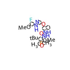 COc1cc(F)cc(Nc2cc(Oc3ccc(NC(=O)Nc4cc(C(C)(C)C)cc(P(C)(C)=O)c4OC)c4ccccc34)ccn2)c1